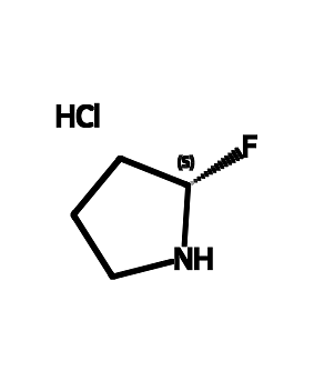 Cl.F[C@H]1CCCN1